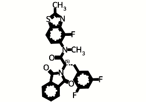 Cc1nc2c(F)c(N(C)C(=O)[C@H](Cc3cc(F)cc(F)c3)N3C(=O)c4ccccc4C3=O)ccc2s1